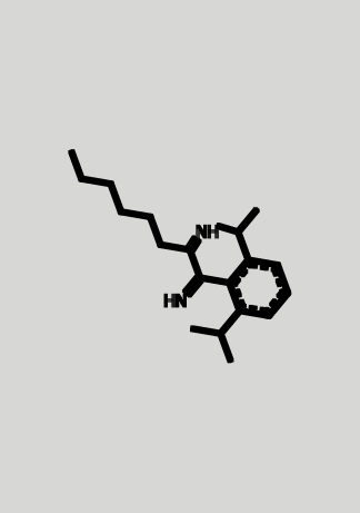 CCCCCCC(=N)C(=N)c1c(C(C)C)cccc1C(C)C